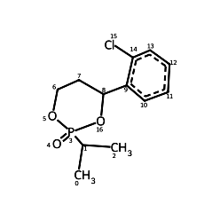 CC(C)P1(=O)OCCC(c2ccccc2Cl)O1